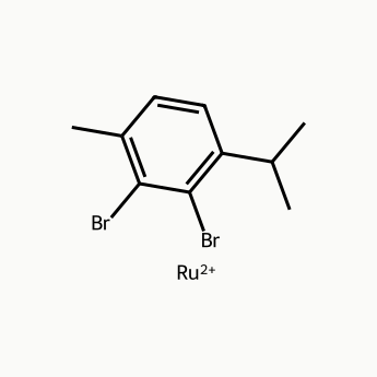 Cc1ccc(C(C)C)c(Br)c1Br.[Ru+2]